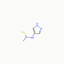 CC(S)Nc1cn[nH]c1